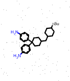 CCCCC1CCC(CC2CCC(c3ccc(N)cc3)(c3ccc(N)cc3)CC2)CC1